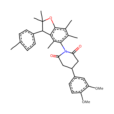 COc1ccc(C2CC(=O)N(c3c(C)c(C)c4c(c3C)C(c3ccc(C)cc3)C(C)(C)O4)C(=O)C2)cc1OC